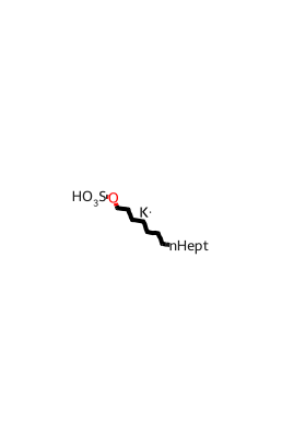 CCCCCCCCCCCCCCOS(=O)(=O)O.[K]